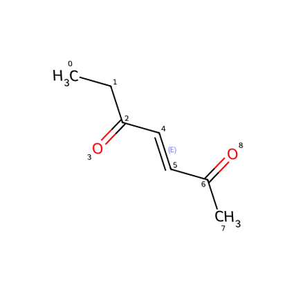 CCC(=O)/C=C/C(C)=O